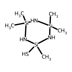 C[Si]1(C)N[Si](C)(C)N[Si](C)(S)N1